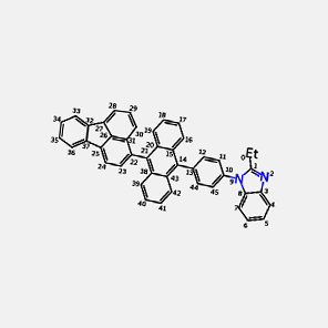 CCc1nc2ccccc2n1-c1ccc(-c2c3ccccc3c(-c3ccc4c5c(cccc35)-c3ccccc3-4)c3ccccc23)cc1